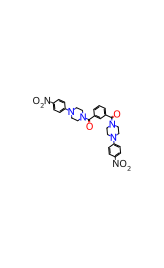 O=C(c1cccc(C(=O)N2CCN(c3ccc([N+](=O)[O-])cc3)CC2)c1)N1CCN(c2ccc([N+](=O)[O-])cc2)CC1